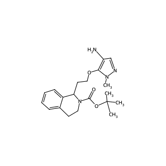 Cn1ncc(N)c1OCCC1c2ccccc2CCN1C(=O)OC(C)(C)C